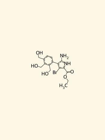 CCOC(=O)c1[nH]c(N)c(-c2ccc(CO)c(CO)c2CO)c1Br